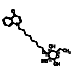 CC[C@H]1OC(O)[C@H](O)[C@@H](OCCCCCCCCn2ccc(=O)c3ccccc32)[C@@H]1O